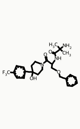 CC(C)(N)C(=O)NC(COCc1ccccc1)C(=O)N1CCC(O)(c2ccc(C(F)(F)F)cc2)CC1